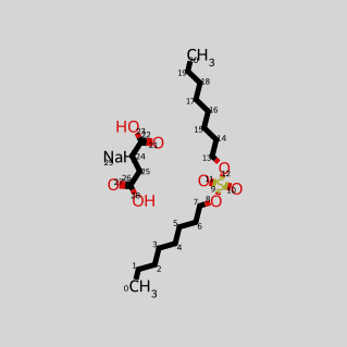 CCCCCCCCOS(=O)(=O)OCCCCCCCC.O=C(O)CCC(=O)O.[NaH]